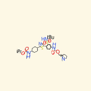 CC(C)OC(=O)NC1CCC(c2ncc(-c3ccc(NC(=O)OC[C@H]4CCCN4C)cc3S(=O)(=O)NC(C)(C)C)s2)CC1